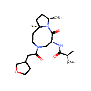 CN[C@@H](C)C(=O)N[C@H]1CN(C(=O)CC2CCOC2)CC[C@H]2CC[C@@H](C=O)N2C1=O